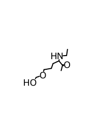 CCNC(CCCOCO)C(C)=O